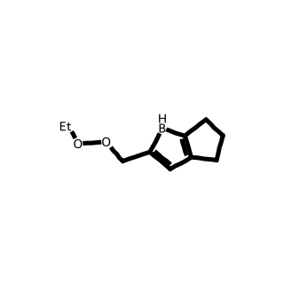 CCOOCC1=CC2=C(B1)CCC2